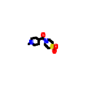 CN1CCC(C(=O)N2CCS(=O)(=O)CC2)CC1